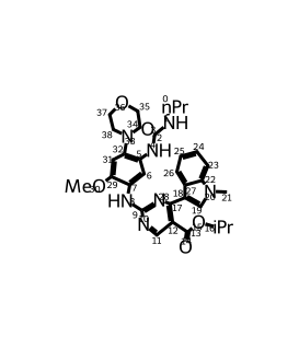 CCCNC(=O)Nc1cc(Nc2ncc(C(=O)OC(C)C)c(-c3cn(C)c4ccccc34)n2)c(OC)cc1N1CCOCC1